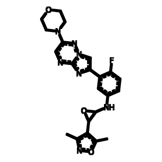 Cc1noc(C)c1C1OC1Nc1ccc(F)c(-c2cn3nc(N4CCOCC4)cnc3n2)c1